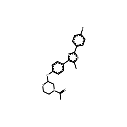 CC(=O)N1CCOC(Oc2ccc(-c3sc(-c4ccc(F)cc4)nc3C)cc2)C1